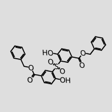 O=C(OCc1ccccc1)c1ccc(O)c(S(=O)(=O)c2cc(C(=O)OCc3ccccc3)ccc2O)c1